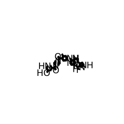 Cc1cc(Nc2nccn3c(-c4c[nH]nc4C(F)(F)F)cnc23)ccc1C(=O)N1CCN(C(=O)C2CNCC(O)C2)CC1